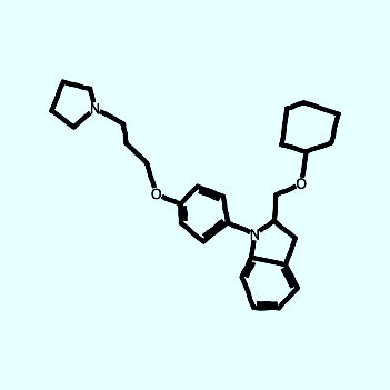 c1ccc2c(c1)CC(COC1CCCCC1)N2c1ccc(OCCCN2CCCC2)cc1